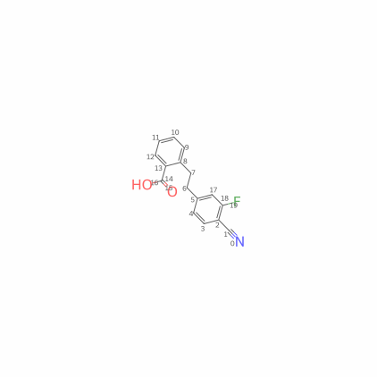 N#Cc1ccc(CCc2ccccc2C(=O)O)cc1F